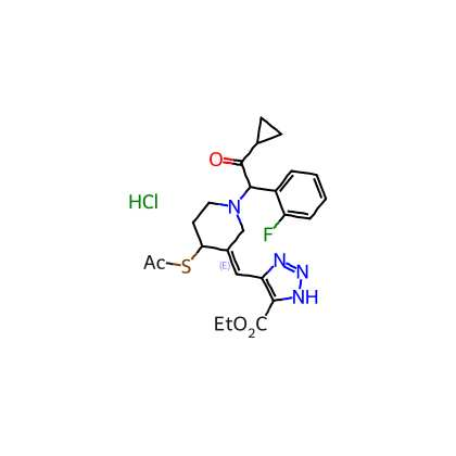 CCOC(=O)c1[nH]nnc1/C=C1\CN(C(C(=O)C2CC2)c2ccccc2F)CCC1SC(C)=O.Cl